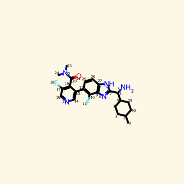 CC1CCC(C(N)c2nc3c(F)c(-c4cncc(F)c4C(=O)N(C)C)ccc3[nH]2)CC1